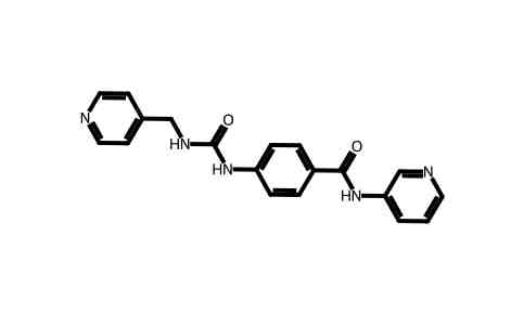 O=C(NCc1ccncc1)Nc1ccc(C(=O)Nc2cccnc2)cc1